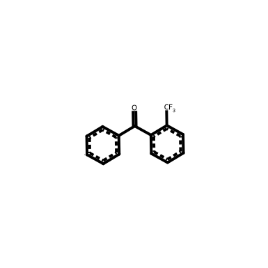 O=C(c1cc[c]cc1)c1ccccc1C(F)(F)F